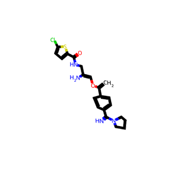 C=C(O/C=C(\N)CNC(=O)c1ccc(Cl)s1)c1ccc(C(=N)N2CCCC2)cc1